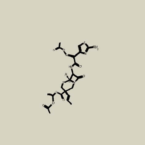 CC=CC1(C(=O)OC(C)OC(C)=O)CS[C@@H]2C(NC(=O)C(=NOC(C)=O)c3csc(N)n3)C(=O)N2C1